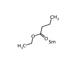 CCCC(=O)OCC.[Sm]